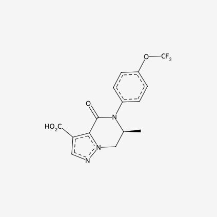 C[C@H]1Cn2ncc(C(=O)O)c2C(=O)N1c1ccc(OC(F)(F)F)cc1